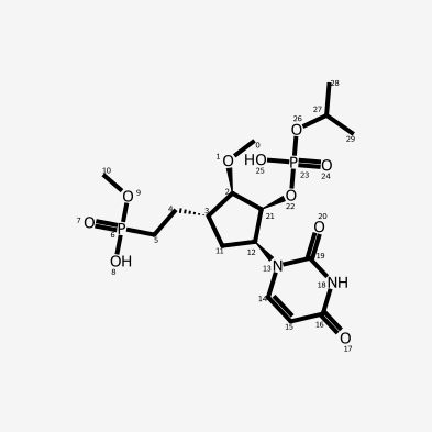 CO[C@@H]1[C@@H](CCP(=O)(O)OC)C[C@H](n2ccc(=O)[nH]c2=O)[C@@H]1OP(=O)(O)OC(C)C